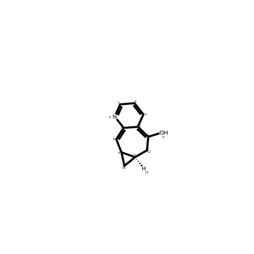 OC1=c2cccnc2=CC2C[C@@H]2C1